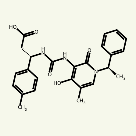 Cc1ccc([C@H](CC(=O)O)NC(=O)Nc2c(O)c(C)cn([C@H](C)c3ccccc3)c2=O)cc1